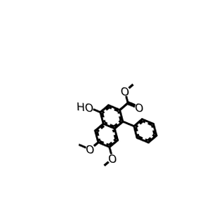 COC(=O)c1cc(O)c2cc(OC)c(OC)cc2c1-c1ccccc1